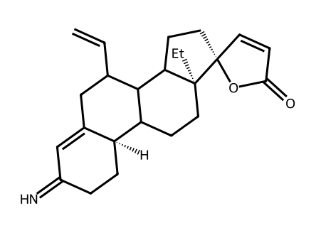 C=CC1CC2=CC(=N)CC[C@@H]2C2CC[C@@]3(CC)C(CC[C@@]34C=CC(=O)O4)C12